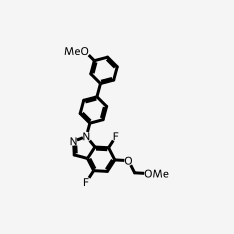 COCOc1cc(F)c2cnn(-c3ccc(-c4cccc(OC)c4)cc3)c2c1F